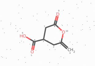 C=C1CC(C(=O)O)CC(=O)O1